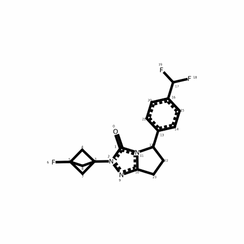 O=c1n(C23CC(F)(C2)C3)nc2n1C(c1ccc(C(F)F)cc1)CC2